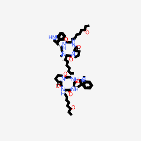 CCC(=O)CCCCC[C@@H]1NC(=O)[C@H]2CCCCN2C(=O)[C@H](C(C)CCCC[C@H](C)[C@H]2C(=O)N3CCC[C@@H]3C(=O)N[C@@H](CCCCCC(=O)CC)C(=O)N[C@@H](Cc3c[nH]c4ccccc34)CN2C)NC(=O)[C@H](Cc2cn(C)c3ccccc23)NC1=O